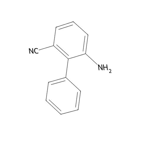 N#Cc1cccc(N)c1-c1ccccc1